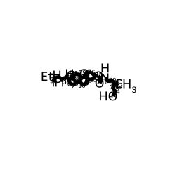 CCC(CCCC1CCC2C3CC=C4CC(OC(=O)NCCN(C)CCO)CCC4(C)C3CCC12C)C(C)C